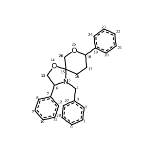 c1ccc(CN2C(c3ccccc3)COC23CCC(c2ccccc2)OC3)cc1